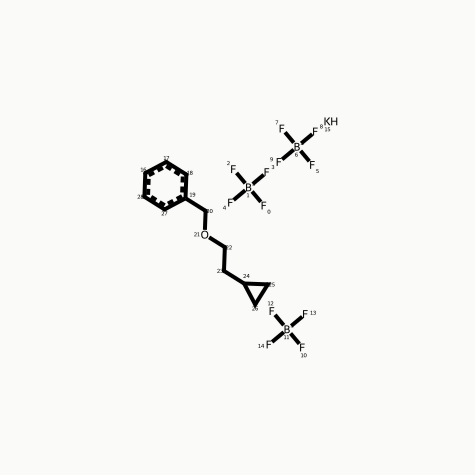 F[B-](F)(F)F.F[B-](F)(F)F.F[B-](F)(F)F.[KH].c1ccc(COCCC2CC2)cc1